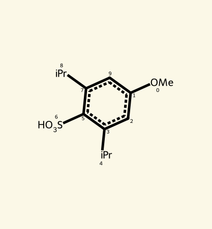 COc1cc(C(C)C)c(S(=O)(=O)O)c(C(C)C)c1